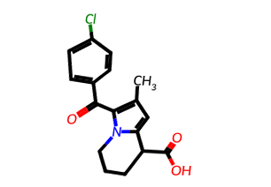 Cc1cc2n(c1C(=O)c1ccc(Cl)cc1)CCCC2C(=O)O